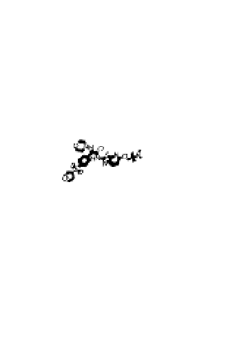 CN(C)C(C)(C)COc1ccc2nc(NC(=O)/C(=N/N3CCOCC3)c3ccc(S(=O)(=O)[C@H]4CCOC4)cc3)sc2n1